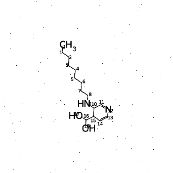 CCCCCCCCCNC1C=NC=CC1C(O)O